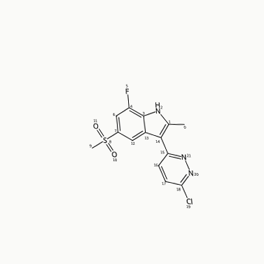 Cc1[nH]c2c(F)cc(S(C)(=O)=O)cc2c1-c1ccc(Cl)nn1